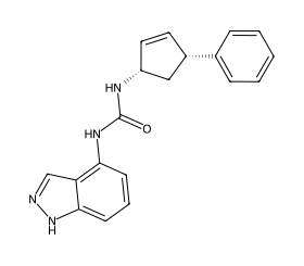 O=C(Nc1cccc2[nH]ncc12)N[C@@H]1C=C[C@H](c2ccccc2)C1